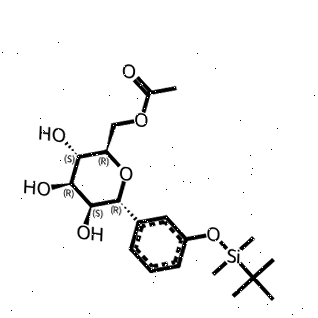 CC(=O)OC[C@H]1O[C@H](c2cccc(O[Si](C)(C)C(C)(C)C)c2)[C@@H](O)[C@@H](O)[C@@H]1O